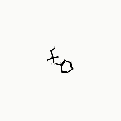 CCC(C)(C)[N]c1ccccc1